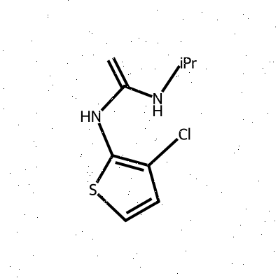 C=C(Nc1sccc1Cl)NC(C)C